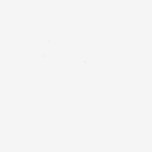 Cc1cccc(-c2ccccc2C(=O)Nc2ccc(C(=N)N)cc2)c1C(=O)O